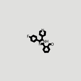 O=Cc1ccccc1-c1nc(-c2ccc(F)cc2)c(-c2ccncc2)[nH]1